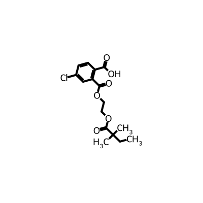 CCC(C)(C)C(=O)OCCOC(=O)c1cc(Cl)ccc1C(=O)O